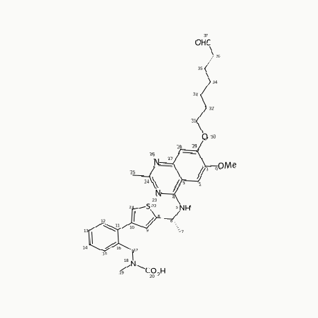 COc1cc2c(N[C@H](C)c3cc(-c4ccccc4CN(C)C(=O)O)cs3)nc(C)nc2cc1OCCCCCCC=O